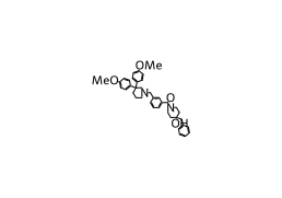 COc1ccc(C2(c3ccc(OC)cc3)CCCN(Cc3cccc(C(=O)N4CCC(O)(Cc5ccccc5)CC4)c3)C2)cc1